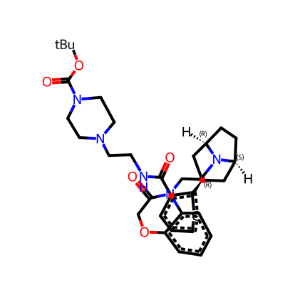 CC(C)(C)OC(=O)N1CCN(CCNC(=O)c2ccccc2[C@H]2C[C@H]3CC[C@@H](C2)N3CCN2C(=O)COc3ccccc32)CC1